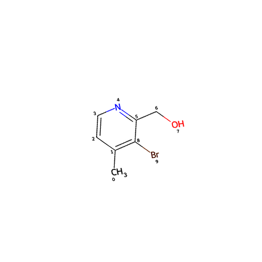 Cc1ccnc(CO)c1Br